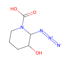 [N-]=[N+]=NC1C(O)CCCN1C(=O)O